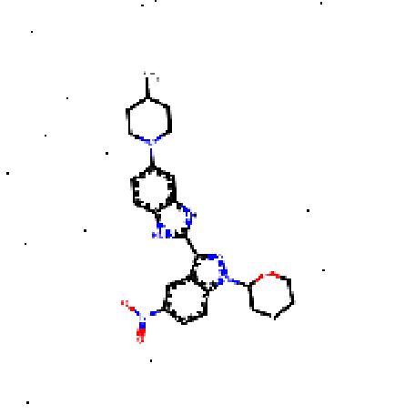 CC1CCN(c2ccc3[nH]c(-c4nn(C5CCCCO5)c5ccc([N+](=O)[O-])cc45)nc3c2)CC1